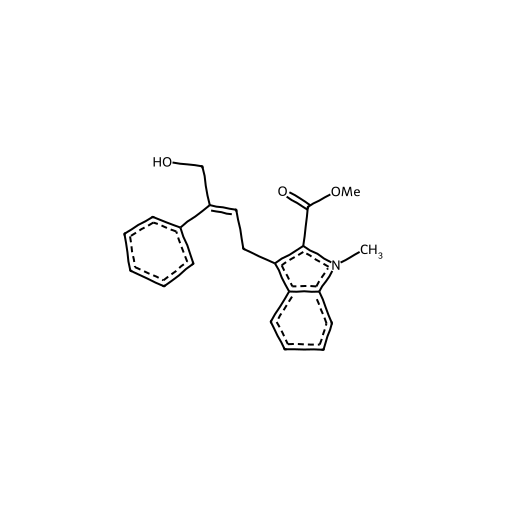 COC(=O)c1c(CC=C(CO)c2ccccc2)c2ccccc2n1C